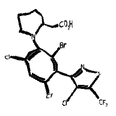 O=C(O)[C@@H]1CCCN1c1c(Cl)cc(Cl)c(-c2nsc(C(F)(F)F)c2Cl)c1Br